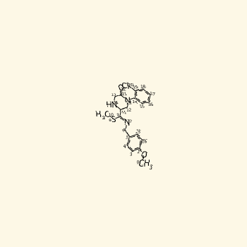 COc1ccc(CN=C(SC)C2CN(c3ccccc3Cl)C(=O)CN2)cc1